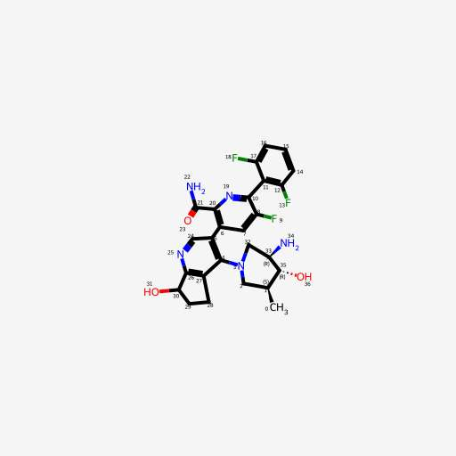 C[C@H]1CN(c2c(-c3cc(F)c(-c4c(F)cccc4F)nc3C(N)=O)cnc3c2CCC3O)C[C@@H](N)[C@@H]1O